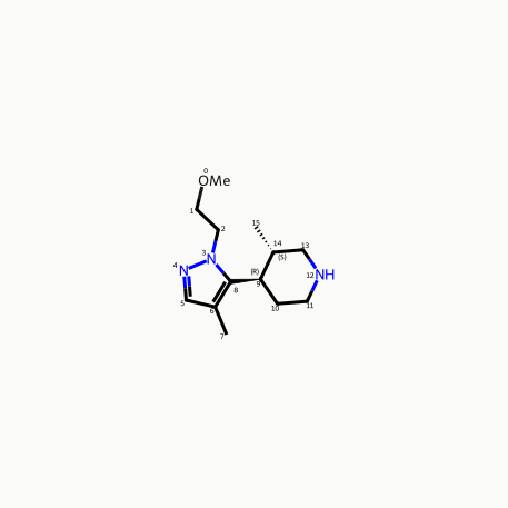 COCCn1ncc(C)c1[C@@H]1CCNC[C@H]1C